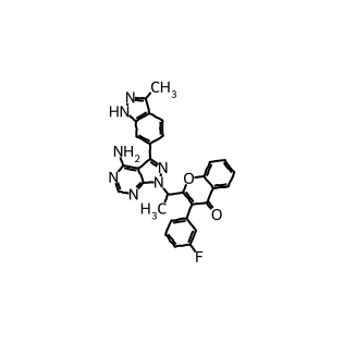 Cc1n[nH]c2cc(-c3nn(C(C)c4oc5ccccc5c(=O)c4-c4cccc(F)c4)c4ncnc(N)c34)ccc12